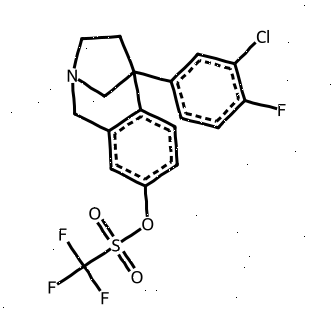 O=S(=O)(Oc1ccc2c(c1)CN1CCC2(c2ccc(F)c(Cl)c2)C1)C(F)(F)F